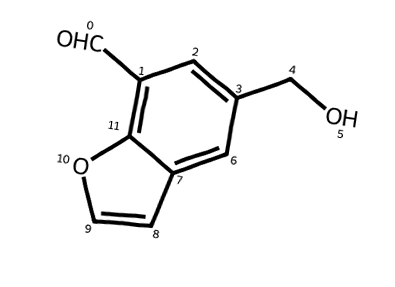 O=Cc1cc(CO)cc2ccoc12